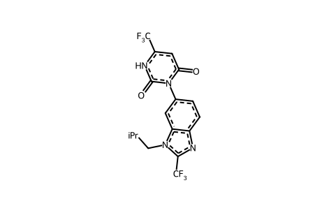 CC(C)Cn1c(C(F)(F)F)nc2ccc(-n3c(=O)cc(C(F)(F)F)[nH]c3=O)cc21